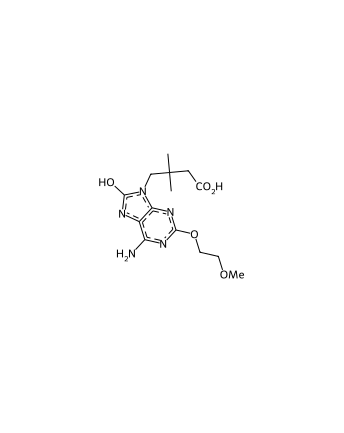 COCCOc1nc(N)c2nc(O)n(CC(C)(C)CC(=O)O)c2n1